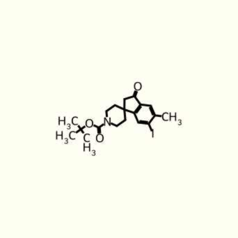 Cc1cc2c(cc1I)C1(CCN(C(=O)OC(C)(C)C)CC1)CC2=O